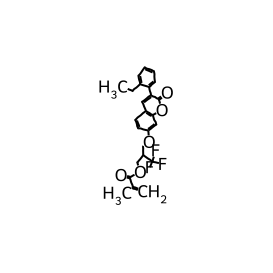 C=C(C)C(=O)OCC(COc1ccc2cc(-c3ccccc3CC)c(=O)oc2c1)C(F)(F)F